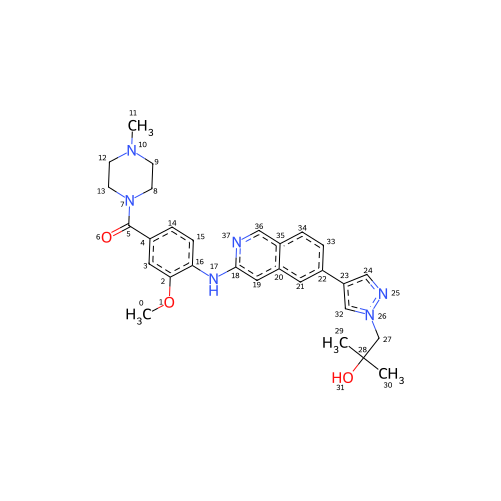 COc1cc(C(=O)N2CCN(C)CC2)ccc1Nc1cc2cc(-c3cnn(CC(C)(C)O)c3)ccc2cn1